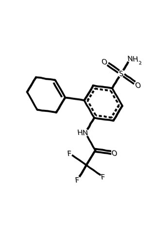 NS(=O)(=O)c1ccc(NC(=O)C(F)(F)F)c(C2=CCCCC2)c1